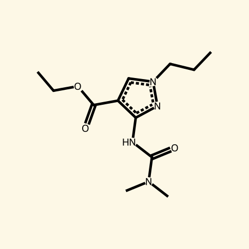 CCCn1cc(C(=O)OCC)c(NC(=O)N(C)C)n1